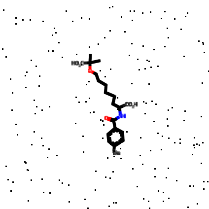 CC(C)(OCCCCCCC(NC(=O)c1ccc(C(C)(C)C)cc1)C(=O)O)C(=O)O